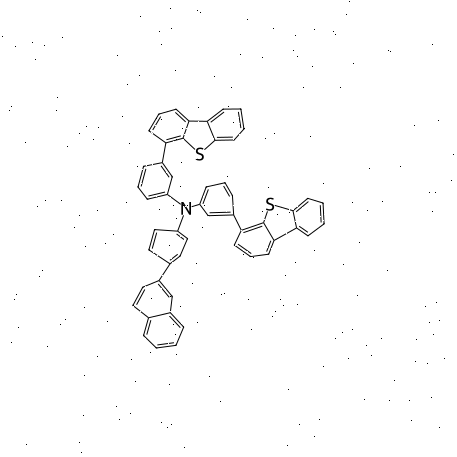 c1cc(-c2cccc3c2sc2ccccc23)cc(N(c2ccc(-c3ccc4ccccc4c3)cc2)c2cccc(-c3cccc4c3sc3ccccc34)c2)c1